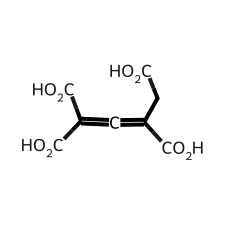 O=C(O)CC(=C=C(C(=O)O)C(=O)O)C(=O)O